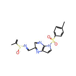 C=C(C)[S@+]([O-])/N=C/c1cnc2c(ccn2S(=O)(=O)c2ccc(C)cc2)n1